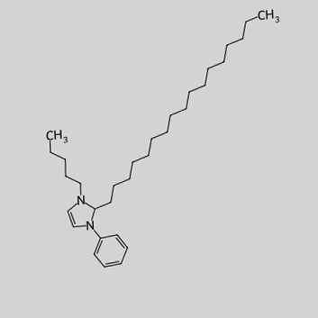 CCCCCCCCCCCCCCCCCC1N(CCCCC)C=CN1c1ccccc1